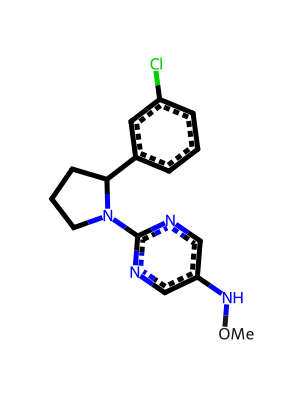 CONc1cnc(N2CCCC2c2cccc(Cl)c2)nc1